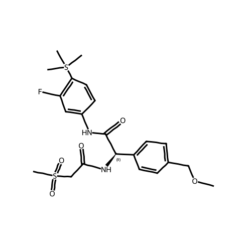 COCc1ccc([C@@H](NC(=O)CS(C)(=O)=O)C(=O)Nc2ccc(S(C)(C)C)c(F)c2)cc1